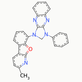 Cc1ccc2c(n1)oc1c(N3CN(c4ccccc4)c4nc5ccccc5nc43)cccc12